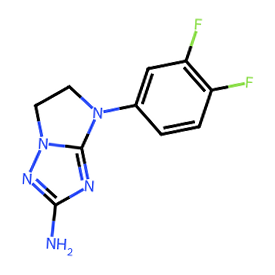 Nc1nc2n(n1)CCN2c1ccc(F)c(F)c1